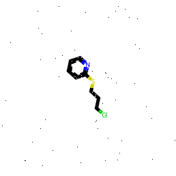 ClCCCSc1ccccn1